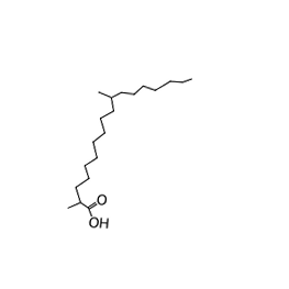 CCCCCCCC(C)CCCCCCCCC(C)C(=O)O